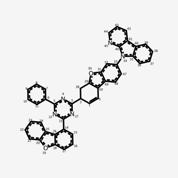 C1=CC(c2nc(-c3ccccc3)nc(-c3cccc4oc5ccccc5c34)n2)Cc2oc3cc(-n4c5ccccc5c5cccnc54)ccc3c21